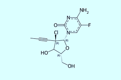 CC#C[C@@]1(Cl)C(O)[C@@H](CO)O[C@H]1n1cc(F)c(N)nc1=O